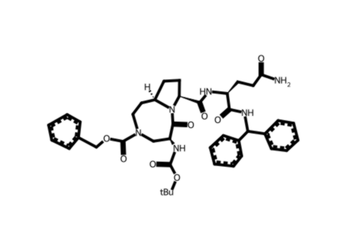 CC(C)(C)OC(=O)N[C@H]1CN(C(=O)OCc2ccccc2)CC[C@H]2CC[C@@H](C(=O)N[C@@H](CCC(N)=O)C(=O)NC(c3ccccc3)c3ccccc3)N2C1=O